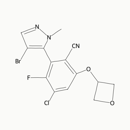 Cn1ncc(Br)c1-c1c(F)c(Cl)cc(OC2COC2)c1C#N